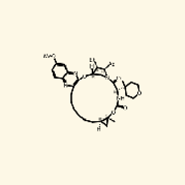 CC[C@@H]1[C@@H]2CN(C(=O)[C@H](C3(C)CCOCC3)NC(=O)O[C@]3(C)C[C@H]3CCCCCCc3nc4ccc(OC)cc4nc3O2)[C@@H]1C(C)=O